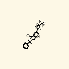 CC(C)(c1ccccc1)N1Cc2ncc(-c3noc(C(F)(F)F)n3)cc2C1=O